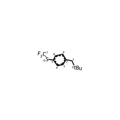 CC(C)(C)Cc1ccc(SC(F)(F)F)cc1